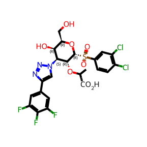 CC(O[C@@H]1[C@@H](n2cc(-c3cc(F)c(F)c(F)c3)nn2)[C@@H](O)[C@@H](CO)O[C@@H]1S(=O)(=O)c1ccc(Cl)c(Cl)c1)C(=O)O